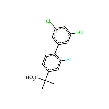 CC(C)(C(=O)O)c1ccc(-c2cc(Cl)cc(Cl)c2)c(F)c1